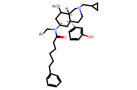 CC(=O)OC1C[C@H](N(CC(C)C)C(=O)CCCCCc2ccccc2)C[C@]2(c3cccc(O)c3)CCN(CC3CC3)C[C@@H]12